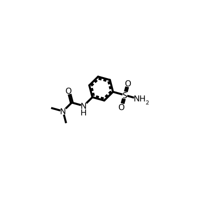 CN(C)C(=O)Nc1cccc(S(N)(=O)=O)c1